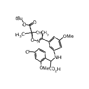 COc1cc(NC(C(=O)O)c2ccc(Cl)cc2OC)cc(C(C)=NOC(C)(C)C(=O)OC(C)(C)C)c1